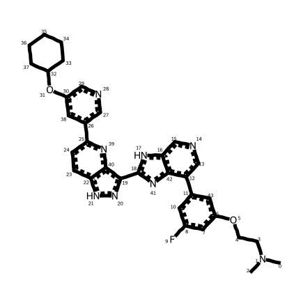 CN(C)CCOc1cc(F)cc(-c2cncc3[nH]c(-c4n[nH]c5ccc(-c6cncc(OC7CCCCC7)c6)nc45)nc23)c1